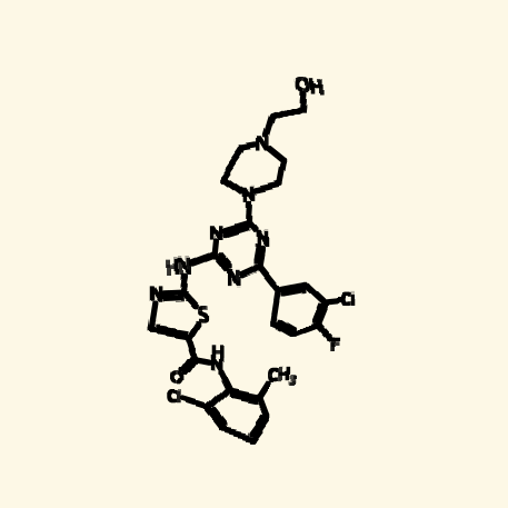 Cc1cccc(Cl)c1NC(=O)c1cnc(Nc2nc(-c3ccc(F)c(Cl)c3)nc(N3CCN(CCO)CC3)n2)s1